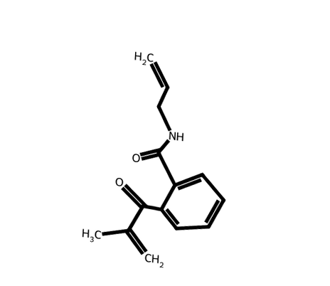 C=CCNC(=O)c1ccccc1C(=O)C(=C)C